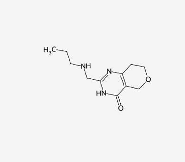 CCCNCc1nc2c(c(=O)[nH]1)COCC2